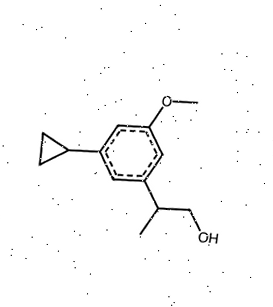 COc1cc([C](C)CO)cc(C2CC2)c1